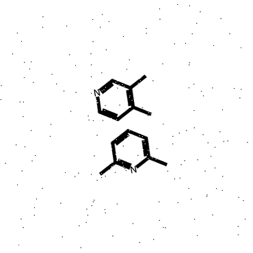 Cc1cccc(C)n1.Cc1ccncc1C